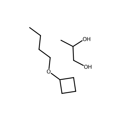 CC(O)CO.CCCCOC1CCC1